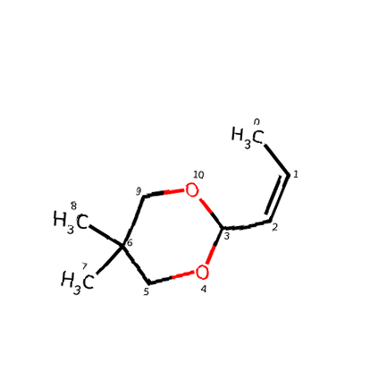 C/C=C\C1OCC(C)(C)CO1